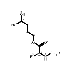 CCOC(=O)N[C@H](C(=O)OCCCC(O)O)C(C)C